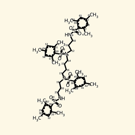 Cc1cc(C)c(S(=O)(=O)NCCCN(CCCCN(CCCNS(=O)(=O)c2c(C)cc(C)cc2C)S(=O)(=O)c2c(C)cc(C)cc2C)S(=O)(=O)c2c(C)cc(C)cc2C)c(C)c1